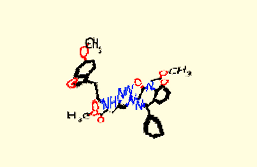 COC(=O)CN1C(=O)C(n2cc(C[C@@H](NC(=O)Cc3coc4cc(OC)ccc34)C(=O)OC)nn2)N=C(c2ccccc2)c2ccccc21